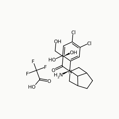 N[C@@H](c1cc(Cl)c(Cl)cc1O)C1C2CCC1CN(C(=O)[C@H](O)CO)C2.O=C(O)C(F)(F)F